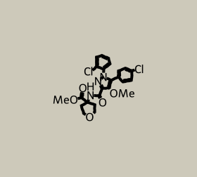 COC(=O)C1(NC(=O)c2nn(-c3ccccc3Cl)c(-c3ccc(Cl)cc3)c2OC)CCOCC1